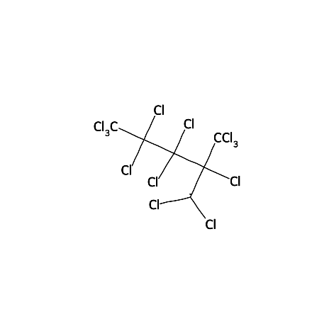 Cl[C](Cl)C(Cl)(C(Cl)(Cl)Cl)C(Cl)(Cl)C(Cl)(Cl)C(Cl)(Cl)Cl